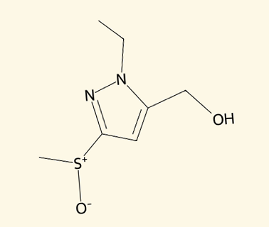 CCn1nc([S+](C)[O-])cc1CO